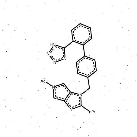 CCCc1nc2cn(C(C)=O)cc2n1Cc1ccc(-c2ccccc2-c2nnn[nH]2)cc1